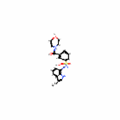 N#Cc1c[nH]c2c(NS(=O)(=O)c3cccc(C(=O)N4CCOCC4)c3)cccc12